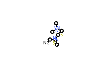 N#CC1=CC=CC(c2nc(-c3ccc4c(c3)sc3cccc(-c5nc(-c6ccccc6)nc(-c6ccccc6)n5)c34)nc3c2sc2ccccc23)C1